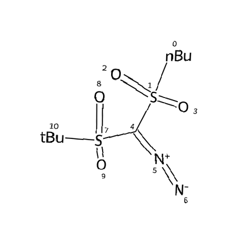 CCCCS(=O)(=O)C(=[N+]=[N-])S(=O)(=O)C(C)(C)C